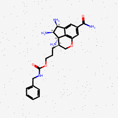 NC(=O)c1cc2c3c(c1)[C@H](N)[C@H](N)[C@]3(N)[C@H](CCCOC(=O)NCc1ccccc1)CO2